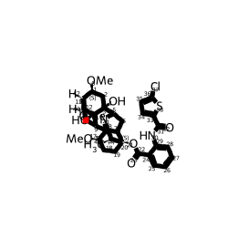 CO[C@H]1C[C@]2(O)C3CC4C5(C6C[C@H]1[C@H](OC)[C@@]62O)[C@@H](OC)CC[C@@]4(OC(=O)c1ccccc1NC(=O)c1ccc(Cl)s1)[C@H](C)N35